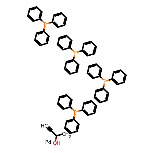 C#CC(C)O.[Pd].c1ccc(P(c2ccccc2)c2ccccc2)cc1.c1ccc(P(c2ccccc2)c2ccccc2)cc1.c1ccc(P(c2ccccc2)c2ccccc2)cc1.c1ccc(P(c2ccccc2)c2ccccc2)cc1